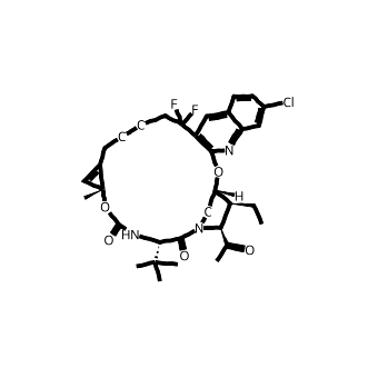 CC[C@@H]1[C@@H]2CN(C(=O)[C@H](C(C)(C)C)NC(=O)O[C@]3(C)C=C3CCCCC(F)(F)c3cc4ccc(Cl)cc4nc3O2)[C@@H]1C(C)=O